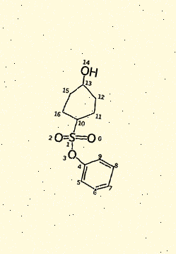 O=S(=O)(Oc1ccccc1)C1CCC(O)CC1